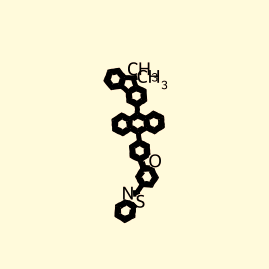 CC1(C)c2ccccc2-c2cc(-c3c4ccccc4c(-c4ccc5c(c4)oc4ccc(-c6nc7ccccc7s6)cc45)c4ccccc34)ccc21